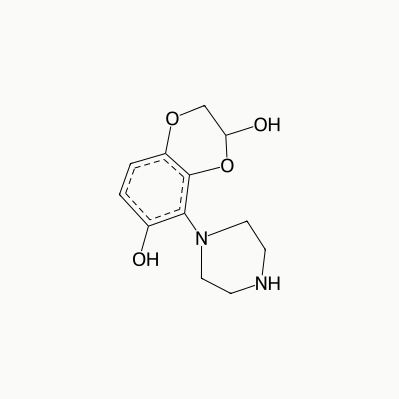 Oc1ccc2c(c1N1CCNCC1)OC(O)CO2